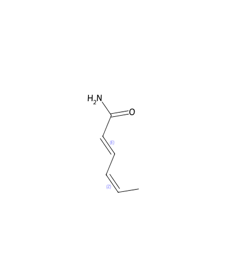 C/C=C\C=C\C(N)=O